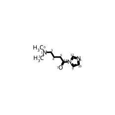 CN(C)CCCC(=O)n1ccnc1